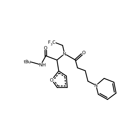 CC(C)(C)NC(=O)C(c1ccco1)N(CC(F)(F)F)C(=O)CCCN1C=CC=CC1